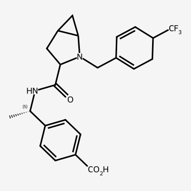 C[C@H](NC(=O)C1CC2CC2N1CC1=CCC(C(F)(F)F)C=C1)c1ccc(C(=O)O)cc1